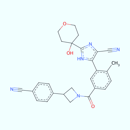 Cc1ccc(C(=O)N2CC(c3ccc(C#N)cc3)C2)cc1-c1[nH]c(C2(O)CCOCC2)nc1C#N